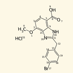 COc1ccc(C(=O)O)c2[nH]c(Cc3ccc(Br)cc3)nc12.Cl